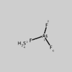 F[As](F)F.S